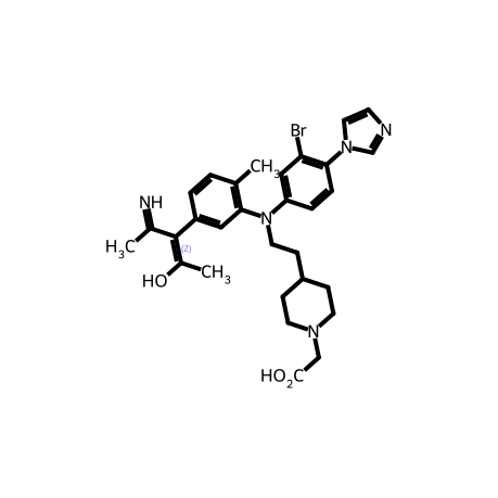 CC(=N)/C(=C(/C)O)c1ccc(C)c(N(CCC2CCN(CC(=O)O)CC2)c2ccc(-n3ccnc3)c(Br)c2)c1